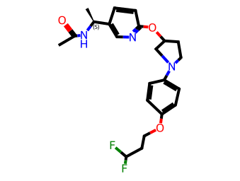 CC(=O)N[C@@H](C)c1ccc(OC2CCN(c3ccc(OCCC(F)F)cc3)C2)nc1